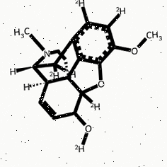 [2H]OC1C=C[C@H]2[C@@H]3N(C)CC[C@@]24c2c(c(OC)c([2H])c([2H])c2C3([2H])[2H])OC14[2H]